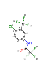 O=C(Nc1ccc(Cl)c(C(F)(F)F)c1)C(F)(F)F